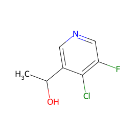 CC(O)c1cncc(F)c1Cl